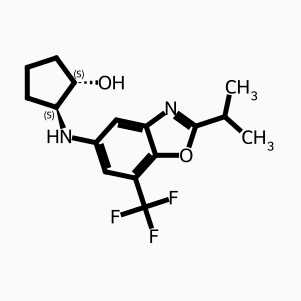 CC(C)c1nc2cc(N[C@H]3CCC[C@@H]3O)cc(C(F)(F)F)c2o1